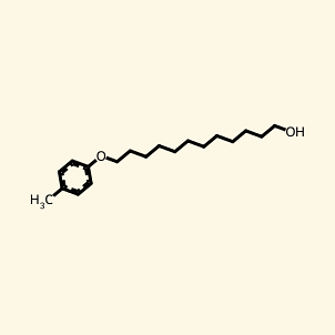 Cc1ccc(OCCCCCCCCCCCCO)cc1